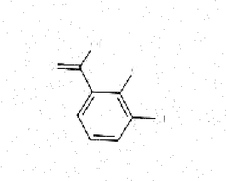 [CH2]c1cccc(C(=O)O)c1Cl